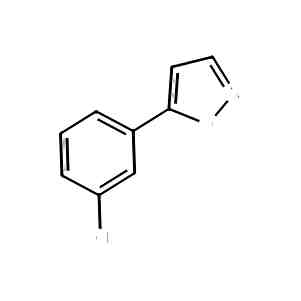 Clc1cccc(-c2c[c]no2)c1